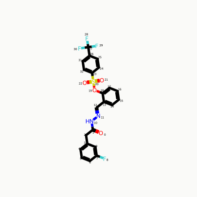 O=C(Cc1cccc(F)c1)N/N=C/c1ccccc1OS(=O)(=O)c1ccc(C(F)(F)F)cc1